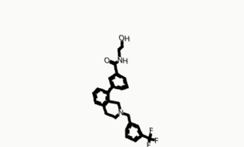 O=C(NCCO)c1cccc(-c2cccc3c2CN(Cc2cccc(C(F)(F)F)c2)CC3)c1